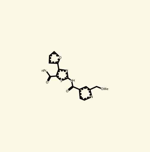 CCCC(=O)c1sc(NC(=O)c2ccnc(COC)c2)nc1-c1ccco1